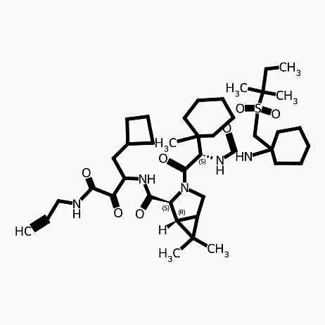 C#CCNC(=O)C(=O)C(CC1CCC1)NC(=O)[C@@H]1[C@@H]2C(CN1C(=O)[C@@H](NC(=O)NC1(CS(=O)(=O)C(C)(C)CC)CCCCC1)C1(C)CCCCC1)C2(C)C